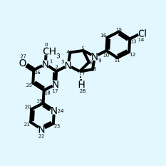 Cn1c(N2CC3C[C@H]2CN3c2ccc(Cl)cc2)nc(-c2ccncn2)cc1=O